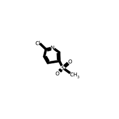 CS(=O)(=O)c1ccc(Cl)nc1